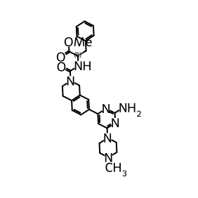 COC(=O)[C@@H](Cc1ccccc1)NC(=O)N1CCc2ccc(-c3cc(N4CCN(C)CC4)nc(N)n3)cc2C1